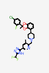 C=C(/C=C(C)\C(CN1CCC(c2cccc3c2OC(C)(c2ccc(Cl)cc2F)O3)CC1)=N/C)c1nnc(C(F)F)[nH]1